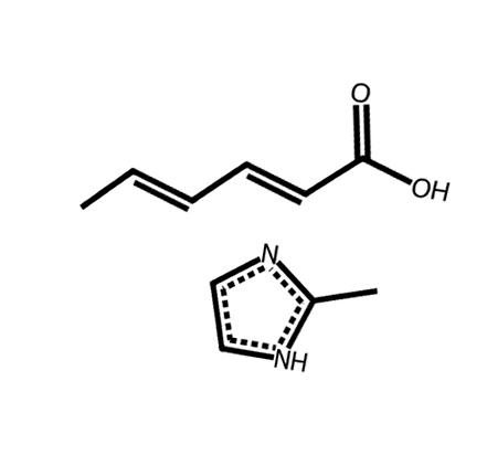 C/C=C/C=C/C(=O)O.Cc1ncc[nH]1